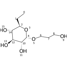 CC[C@H]1O[C@H](OCCCO)[C@H](O)[C@@H](O)[C@@H]1O